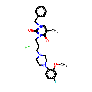 COc1cc(F)ccc1N1CCN(CCCn2c(=O)c(C)cn(Cc3ccccc3)c2=O)CC1.Cl